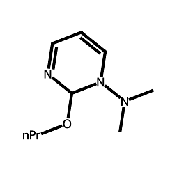 CCCOC1N=CC=CN1N(C)C